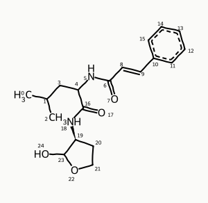 CC(C)CC(NC(=O)C=Cc1ccccc1)C(=O)N[C@H]1CCOC1O